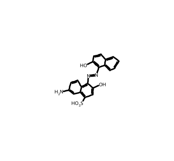 Nc1ccc2c(/N=N/c3c(O)ccc4ccccc34)c(O)cc(S(=O)(=O)O)c2c1